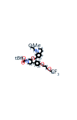 COCCCN1CCCc2ccc(CO[C@H]3CN(C(=O)OC(C)(C)C)CC[C@@H]3c3ccc(OCCCOCC(F)(F)F)cc3)cc21